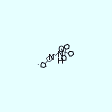 O=C(NCCCN1CCC(c2c[c]ccc2)CC1)C(c1ccccc1)(c1ccccc1)c1ccccc1